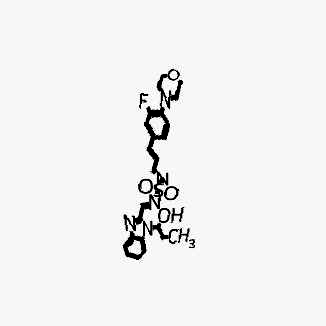 CCC(O)n1c(C=NS(=O)(=O)N=CC=Cc2ccc(N3CCOCC3)c(F)c2)nc2ccccc21